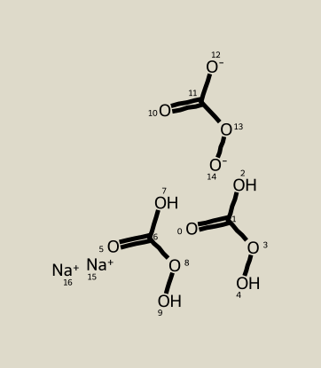 O=C(O)OO.O=C(O)OO.O=C([O-])O[O-].[Na+].[Na+]